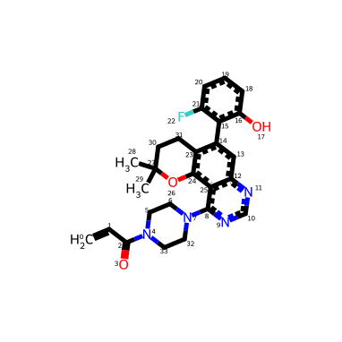 C=CC(=O)N1CCN(c2ncnc3cc(-c4c(O)cccc4F)c4c(c23)OC(C)(C)CC4)CC1